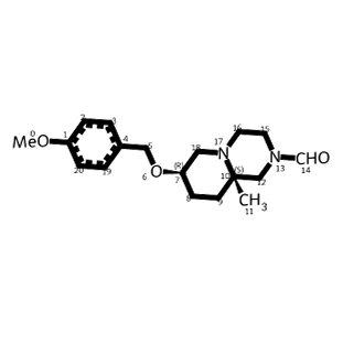 COc1ccc(CO[C@@H]2CC[C@@]3(C)CN(C=O)CCN3C2)cc1